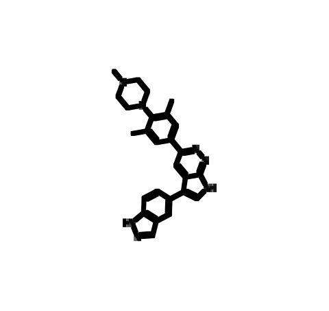 Cc1cc(-c2cc3c(-c4ccc5[nH]ncc5c4)c[nH]c3nn2)cc(C)c1N1CCN(C)CC1